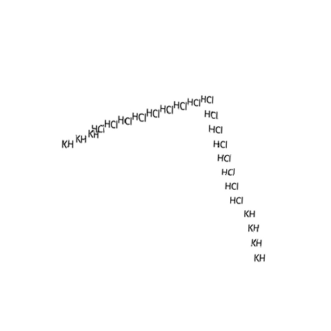 Cl.Cl.Cl.Cl.Cl.Cl.Cl.Cl.Cl.Cl.Cl.Cl.Cl.Cl.Cl.Cl.[KH].[KH].[KH].[KH].[KH].[KH].[KH]